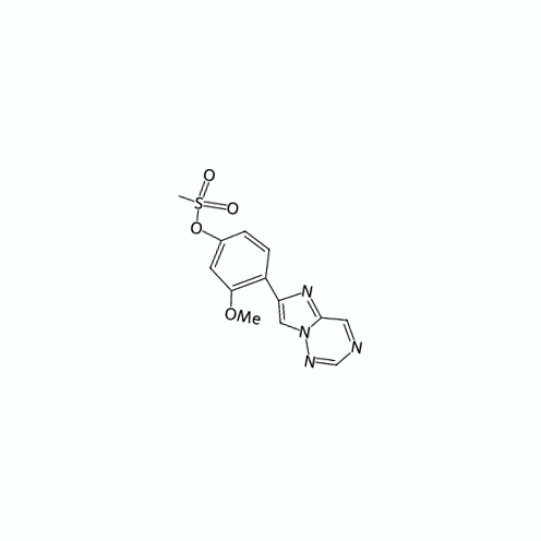 COc1cc(OS(C)(=O)=O)ccc1-c1cn2ncncc2n1